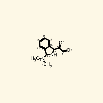 CN(C)C1NC(C(=O)C=O)c2ccccc21